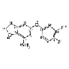 Nc1cc(Oc2ccc(F)c(F)c2)cc2c1OCC2